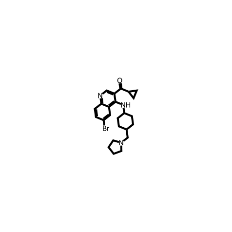 O=C(c1cnc2ccc(Br)cc2c1NC1CCC(CN2CCCC2)CC1)C1CC1